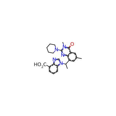 Cc1cc(C(C)n2cnc3c(C(=O)O)cccc32)c2nc(N3CCCCC3)n(C)c(=O)c2c1